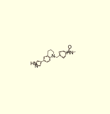 CNC(=O)c1ccc(CN2CCCc3cc(-c4cn[nH]c4)ccc32)cc1